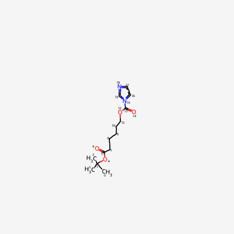 CC(C)(C)OC(=O)CCCCCOC(=O)n1ccnc1